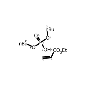 C=CC(=O)OCC.CCCCOP(=O)(O)OCCCC